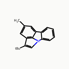 Cc1cc2c(C(C)(C)C)cn3c4ccccc4c(c1)c23